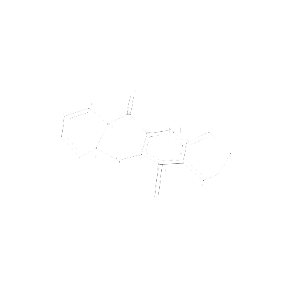 O=C1c2[nH]c3c(c(=O)c2NC2C=CC=CC12)=CCCC=3